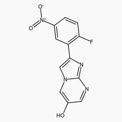 O=[N+]([O-])c1ccc(F)c(-c2cn3cc(O)cnc3n2)c1